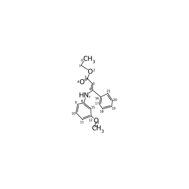 CCOC(=O)/C=C(\Nc1cccc(OC)c1)c1ccccc1